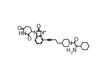 Cn1c(=O)n(C2CCC(=O)NC2=O)c2cccc(C#CCCC3CCN(C(=O)[C@@H](N)C4CCCCC4)CC3)c21